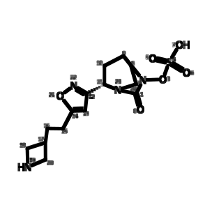 O=C1N(OS(=O)(=O)O)C2CC[C@@H](c3cc(CCC4CNC4)on3)N1C2